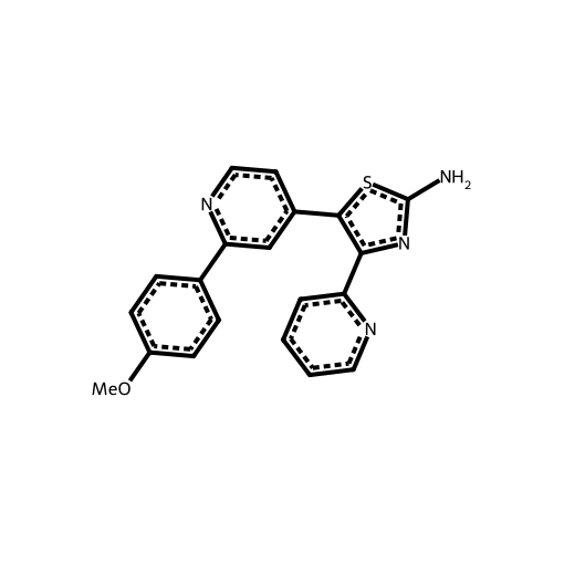 COc1ccc(-c2cc(-c3sc(N)nc3-c3ccccn3)ccn2)cc1